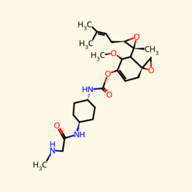 CNCC(=O)N[C@H]1CC[C@H](NC(=O)OC2=CC[C@]3(CO3)C([C@@]3(C)O[C@@H]3CC=C(C)C)C2OC)CC1